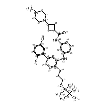 CN1CCN(C2CC(C(=O)Nc3cc(Nc4cc(-c5cc(Cl)ccc5F)nnc4SCCO[Si](C)(C)C(C)(C)C)ccn3)C2)CC1